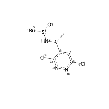 C[C@@H](N[S@@+]([O-])C(C)(C)C)c1cc(Cl)nnc1Cl